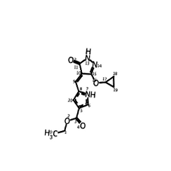 CCOC(=O)c1c[nH]c(C=C2C(=O)NN=C2OC2CC2)c1